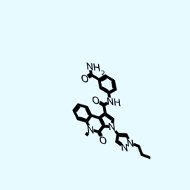 CCCn1cc(-n2cc(C(=O)Nc3cccc(C(N)=O)c3)c3c4ccccc4n(C)c(=O)c32)cn1